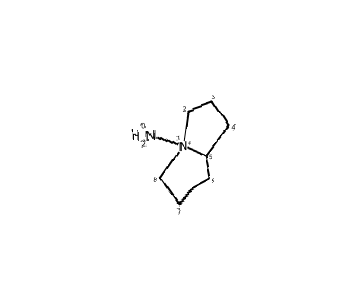 N[N+]12CCCC1CCC2